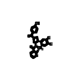 CN(C(=O)c1cccnc1F)[C@@H]1CN(C(=O)c2ccc(C#N)cc2)C[C@H]1c1ccc(Cl)c(Cl)c1